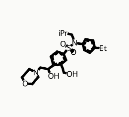 CCc1ccc(N(CC(C)C)S(=O)(=O)c2ccc(C(O)CN3CCOCC3)c(CO)c2)cc1